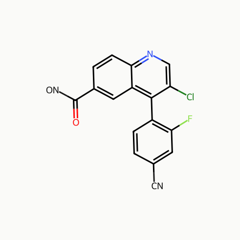 N#Cc1ccc(-c2c(Cl)cnc3ccc(C(=O)N=O)cc23)c(F)c1